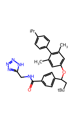 Cc1cc(OC(CC(C)(C)C)c2ccc(C(=O)NCc3nnn[nH]3)cc2)cc(C)c1-c1ccc(C(C)C)cc1